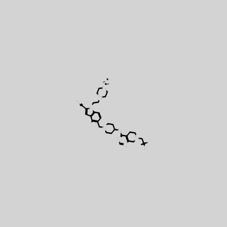 Cc1c(CN2CCC(Nc3ncnc4c3CCN(CC(F)(F)F)C4)CC2)ccc2c1cc(C#N)n2CCN1CCN(S(C)(=O)=O)CC1